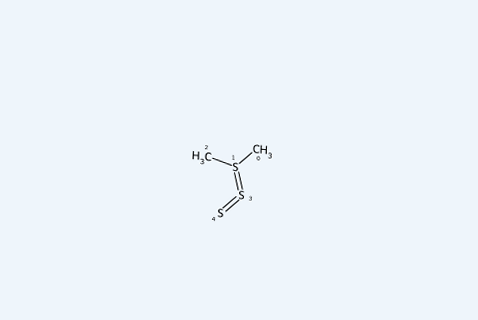 CS(C)=S=S